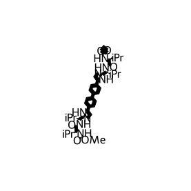 COC(=O)N[C@H](C(=O)N[C@@H](c1ncc(-c2ccc(-c3ccc(-c4cnc([C@H](NC(=O)[C@@H](NC5OCO5)C(C)C)C(C)C)[nH]4)cc3)cc2)[nH]1)C(C)C)C(C)C